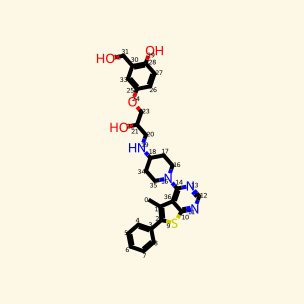 Cc1c(-c2ccccc2)sc2ncnc(N3CCC(NCC(O)COc4ccc(O)c(CO)c4)CC3)c12